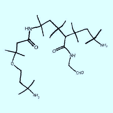 CC(C)(N)CCOC(C)(C)CC(=O)NC(C)(C)CC(C)(C)C(C(=O)NCC=O)C(C)(C)CC(C)(C)N